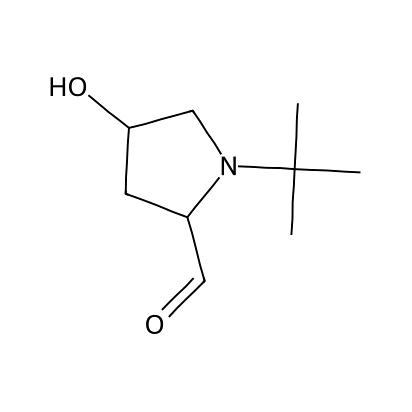 CC(C)(C)N1CC(O)CC1C=O